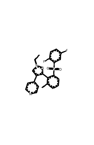 CCn1cc(-c2ccncc2)c(-c2c(C)[c]ccc2S(=O)(=O)c2cc(F)ccc2F)n1